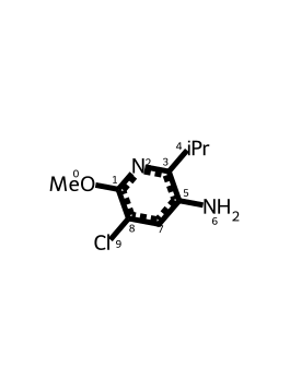 COc1nc(C(C)C)c(N)cc1Cl